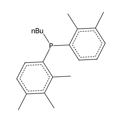 CCCCP(c1cccc(C)c1C)c1ccc(C)c(C)c1C